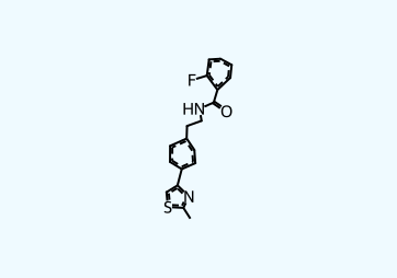 Cc1nc(-c2ccc(CCNC(=O)c3ccccc3F)cc2)cs1